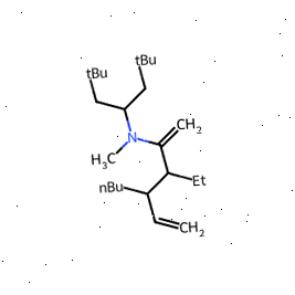 C=CC(CCCC)C(CC)C(=C)N(C)C(CC(C)(C)C)CC(C)(C)C